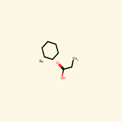 C1CCCCC1.CCC(=O)O.[Ru]